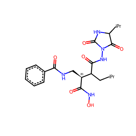 CC(C)CC(C(=O)NN1C(=O)NC(C(C)C)C1=O)[C@H](CNC(=O)c1ccccc1)C(=O)NO